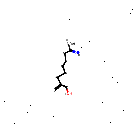 C=C(CO)CCCCCC(=N)OC